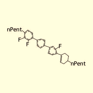 CCCCCc1ccc(-c2ccc(-c3ccc(C4=CCC(CCCCC)CC4)c(F)c3)cc2)c(F)c1F